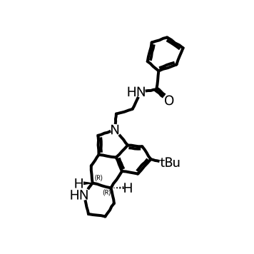 CC(C)(C)c1cc2c3c(cn(CCNC(=O)c4ccccc4)c3c1)C[C@H]1NCCC[C@H]21